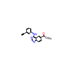 C#Cc1cccc(Nc2ncnc3ccc(C(=O)OC)cc23)c1